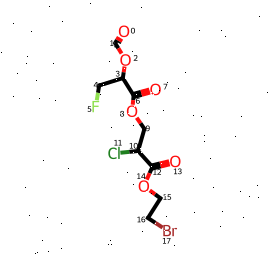 O=[C]OC(CF)C(=O)OCC(Cl)C(=O)OCCBr